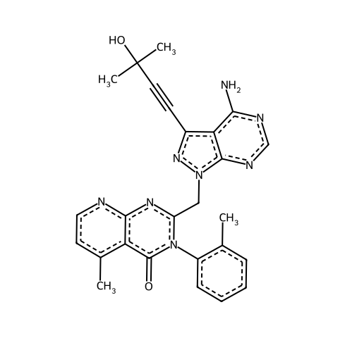 Cc1ccccc1-n1c(Cn2nc(C#CC(C)(C)O)c3c(N)ncnc32)nc2nccc(C)c2c1=O